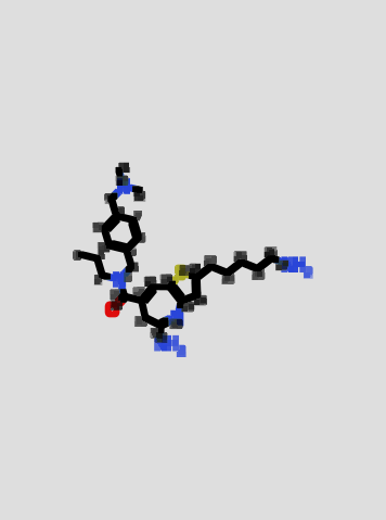 CCCN(Cc1ccc(CN(C)C)cc1)C(=O)C1=Cc2sc(CCCCCN)cc2N=C(N)C1